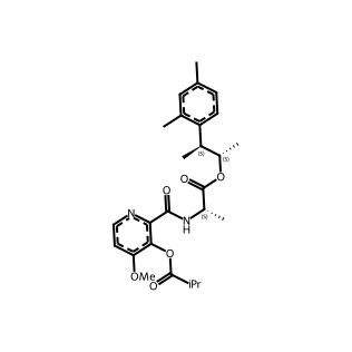 COc1ccnc(C(=O)N[C@@H](C)C(=O)O[C@@H](C)[C@@H](C)c2ccc(C)cc2C)c1OC(=O)C(C)C